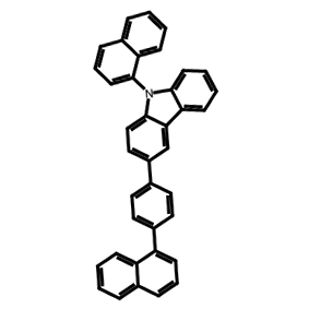 c1ccc2c(-c3ccc(-c4ccc5c(c4)c4ccccc4n5-c4cccc5ccccc45)cc3)cccc2c1